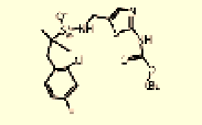 CC(C)(C)OC(=O)Nc1ncc(CN[S@@+]([O-])C(C)(C)Cc2ccc(F)cc2Cl)s1